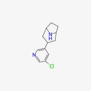 Clc1cncc(C2CC3CCC(C2)N3)c1